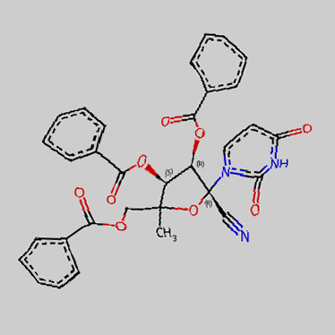 CC1(COC(=O)c2ccccc2)O[C@@](C#N)(n2ccc(=O)[nH]c2=O)[C@H](OC(=O)c2ccccc2)[C@@H]1OC(=O)c1ccccc1